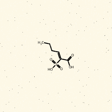 CCCC=C(C(=O)O)S(=O)(=O)O